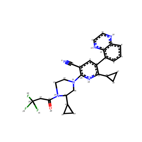 N#Cc1cc(-c2cccc3nccnc23)c(C2CC2)nc1N1CCN(C(=O)CC(F)(F)F)C(C2CC2)C1